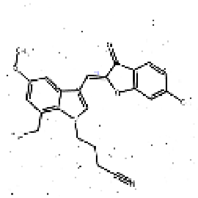 CCc1cc(OC)cc2c(/C=C3\Oc4cc(O)ccc4C3=O)cn(CCCC#N)c12